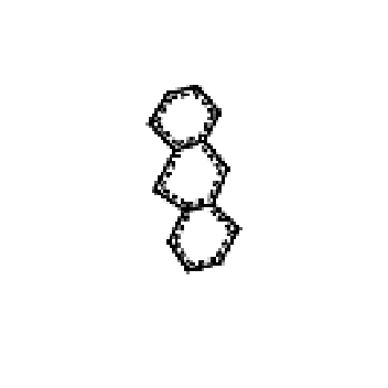 [c]1ccc2cc3c[c]ccc3cc2c1